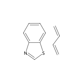 C=CC=C.c1ccc2scnc2c1